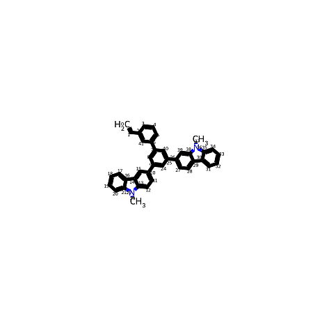 C=Cc1cccc(-c2cc(-c3ccc4c(c3)c3ccccc3n4C)cc(-c3ccc4c5ccccc5n(C)c4c3)c2)c1